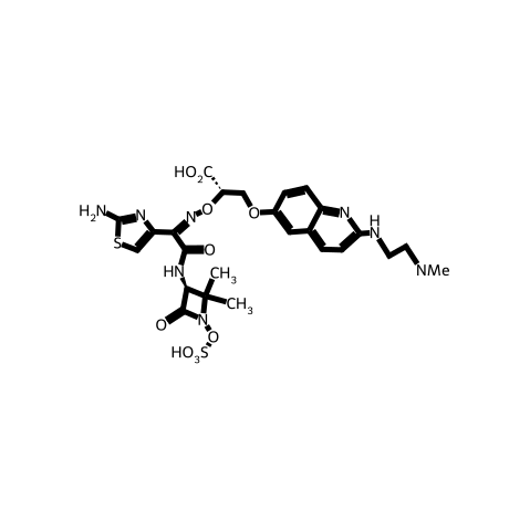 CNCCNc1ccc2cc(OC[C@H](O/N=C(\C(=O)N[C@@H]3C(=O)N(OS(=O)(=O)O)C3(C)C)c3csc(N)n3)C(=O)O)ccc2n1